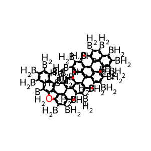 Bc1c(B)c(-c2c(B)c(B)c(B)c3c(-c4c5c(B)c(B)c(B)c(B)c5c(-c5c(B)c(B)c(B)c6c(B)c(B)c(B)c(B)c56)c5c(B)c(B)c(B)c(B)c45)c(B)c(B)c(B)c23)c2c(oc3c(B)c4c(B)c(B)c(B)c(B)c4c(B)c32)c1B